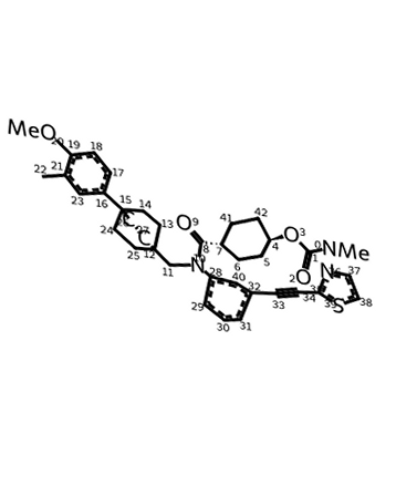 CNC(=O)O[C@H]1CC[C@H](C(=O)N(CC23CCC(c4ccc(OC)c(C)c4)(CC2)CC3)c2cccc(C#Cc3nccs3)c2)CC1